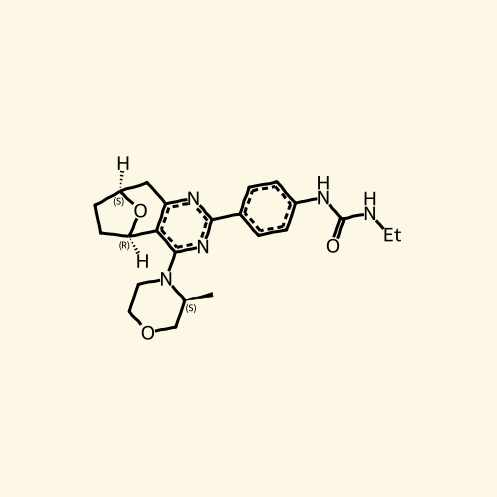 CCNC(=O)Nc1ccc(-c2nc3c(c(N4CCOC[C@@H]4C)n2)[C@H]2CC[C@@H](C3)O2)cc1